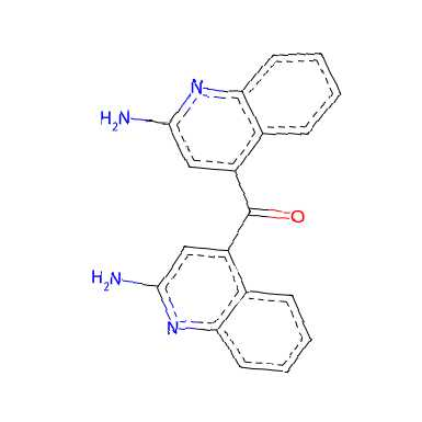 Nc1cc(C(=O)c2cc(N)nc3ccccc23)c2ccccc2n1